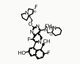 C#Cc1c(F)ccc2cc(O)cc(-c3ncc4c(N(C)C[C@@H]5CCCCN5)nc(OC[C@@]56CCCN5C[C@H](F)C6)nc4c3F)c12